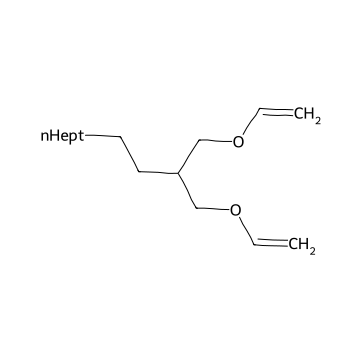 C=COCC(CCCCCCCCC)COC=C